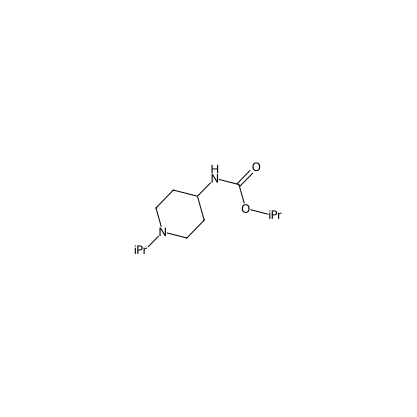 CC(C)OC(=O)NC1CCN(C(C)C)CC1